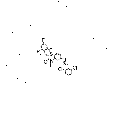 O=C1Nc2cc(OSCc3c(Cl)cccc3Cl)ccc2S/C1=C\c1c(F)cc(F)cc1F